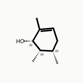 CC1=CC[C@H](C)[C@H](C)[C@@H]1O